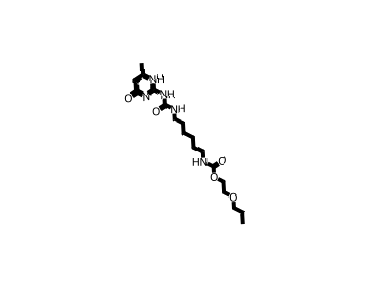 CCCOCCOC(=O)NCCCCCCNC(=O)Nc1nc(=O)cc(C)[nH]1